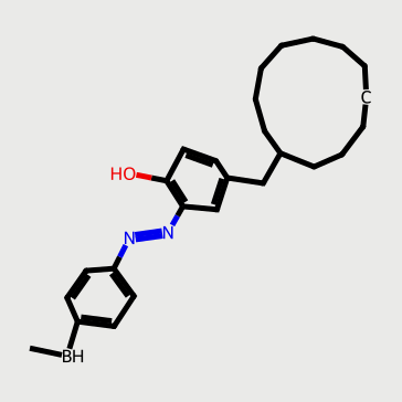 CBc1ccc(/N=N/c2cc(CC3CCCCCCCCCCC3)ccc2O)cc1